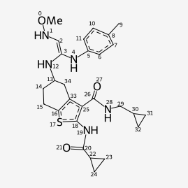 CON/C=C(/Nc1ccc(C)cc1)NC1CCc2sc(NC(=O)C3CC3)c(C(=O)NCC3CC3)c2C1